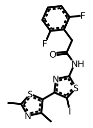 Cc1nc(C)c(-c2nc(NC(=O)Cc3c(F)cccc3F)sc2I)s1